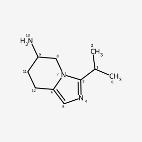 CC(C)c1ncc2n1CC(N)CC2